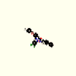 O=C(O)[C@H](Cc1ccc(-c2ccccc2)cc1)NC(=O)[C@@H]1Cc2ccc(OCc3ccc(C(F)(F)F)cc3)cc2CN1C(=O)c1ccc(F)c(F)c1